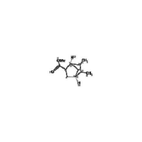 COC(=O)C1C[C@H]2C[C@@H]1C(C)C2C